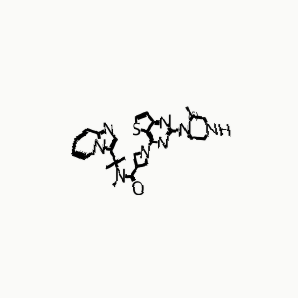 C[C@H]1CNCCN1c1nc(N2CC(C(=O)N(C)C(C)(C)c3cnc4ccccn34)C2)c2sccc2n1